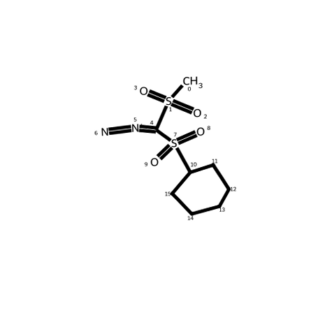 CS(=O)(=O)C(=[N+]=[N-])S(=O)(=O)C1CCCCC1